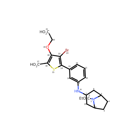 CCOC(=O)N1C2CCC1CC(Nc1cccc(-c3sc(C(=O)O)c(OCC(=O)O)c3Br)c1)C2